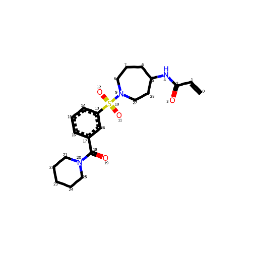 C=CC(=O)NC1CCCN(S(=O)(=O)c2cccc(C(=O)N3CCCCC3)c2)CC1